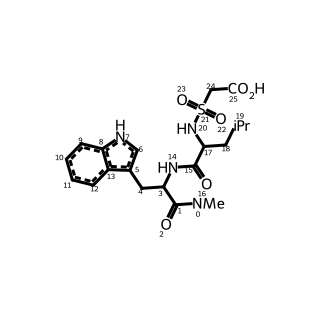 CNC(=O)C(Cc1c[nH]c2ccccc12)NC(=O)C(CC(C)C)NS(=O)(=O)CC(=O)O